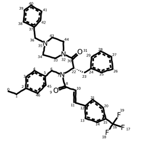 CCc1ccc(CN(C(=O)/C=C/c2ccc(C(F)(F)F)cc2)[C@@H](Cc2ccccc2)C(=O)N2CCN(Cc3ccccc3)CC2)cc1